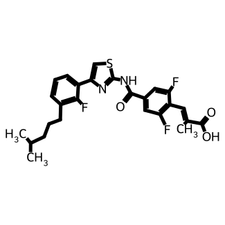 CC(=Cc1c(F)cc(C(=O)Nc2nc(-c3cccc(CCCC(C)C)c3F)cs2)cc1F)C(=O)O